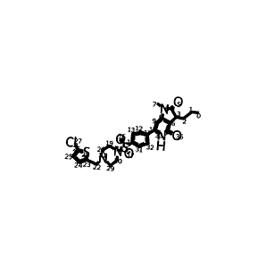 CCCC1C(=O)N(C)c2cc(-c3ccc(S(=O)(=O)N4CCN(Cc5ccc(Cl)s5)CC4)cc3)[nH]c(=O)c21